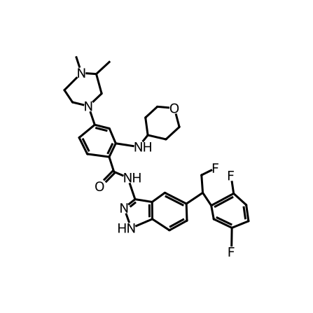 CC1CN(c2ccc(C(=O)Nc3n[nH]c4ccc(C(CF)c5cc(F)ccc5F)cc34)c(NC3CCOCC3)c2)CCN1C